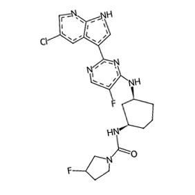 O=C(N[C@@H]1CCC[C@H](Nc2nc(-c3c[nH]c4ncc(Cl)cc34)ncc2F)C1)N1CCC(F)C1